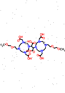 COCCOCCN1CCN(CC(=O)O)CCN(C(C(=O)O)C(C(=O)O)N2CCN(CC(=O)O)CCN(CCOCCOC)CCN(CC(=O)O)CC2)CCN(CC(=O)O)CC1